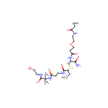 CNCC(=O)NCCOCCC(=O)NC(CSC(CC(=O)O)C(=O)NCCC(=O)NC(C)(C)C(=O)NCCO)C(N)=O